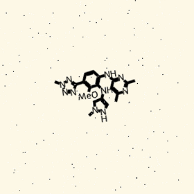 COc1c(-c2nnn(C)n2)ccc(Nc2cc(C)nc(C)n2)c1NC1=CNN(C)C1